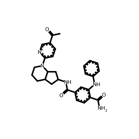 CC(=O)c1ccc(N2CCCC3CC(NC(=O)c4ccc(C(N)=O)c(Nc5ccccc5)c4)CC32)nc1